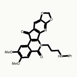 COc1cc2c3c(n(CCCNC(C)C)c(=O)c2cc1OC)-c1nc2c(cc1C3=O)OCO2